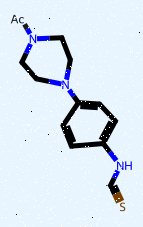 CC(=O)N1CCN(c2ccc(N[C]=S)cc2)CC1